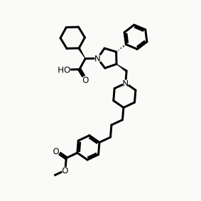 COC(=O)c1ccc(CCCC2CCN(C[C@H]3CN([C@@H](C(=O)O)C4CCCCC4)C[C@@H]3c3ccccc3)CC2)cc1